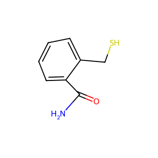 NC(=O)c1ccccc1CS